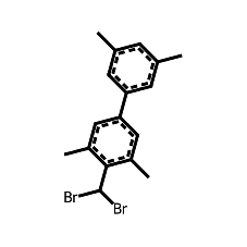 Cc1cc(C)cc(-c2cc(C)c(C(Br)Br)c(C)c2)c1